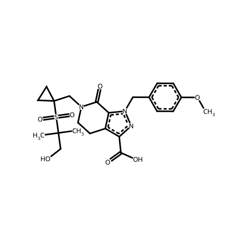 COc1ccc(Cn2nc(C(=O)O)c3c2C(=O)N(CC2(S(=O)(=O)C(C)(C)CO)CC2)CC3)cc1